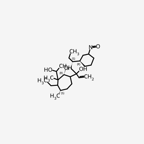 C=CC(O)(C[C@H](CC)[C@@H]1CCCC(N=O)C1)C1CC[C@H](C)C(CC)C(C)(C(C)O)[C@@H]1O